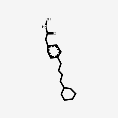 O=C(Cc1ccc(CCCCC2CCCCC2)cc1)NO